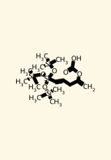 C=C(CC=C[Si](O[Si](C)(C)C)(O[Si](C)(C)C)O[Si](C)(C)C)OC(=O)O